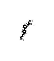 C=C(CO)C(=O)OC1(C)CCC(C2CCC(CCCCC)CC2)CC1